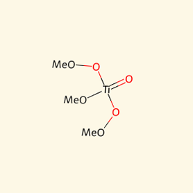 CO[O][Ti](=[O])([O]C)[O]OC